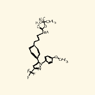 COc1ccc(-n2nc(C(F)(F)F)cc2-c2ccc(CCCNC(=O)OC(C)(C)C)cc2)cc1